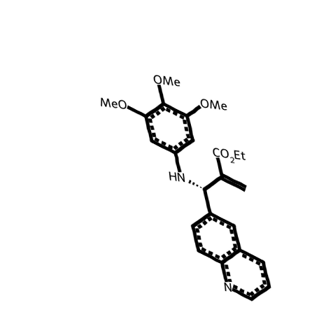 C=C(C(=O)OCC)[C@@H](Nc1cc(OC)c(OC)c(OC)c1)c1ccc2ncccc2c1